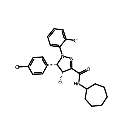 CC[C@H]1C(C(=O)NC2CCCCCC2)=NN(c2ccccc2Cl)[C@H]1c1ccc(Cl)cc1